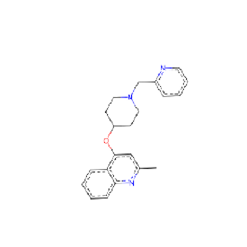 Cc1cc(OC2CCN(Cc3ccccn3)CC2)c2ccccc2n1